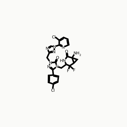 NC12CC1C(F)(F)C(Cn1c(-c3ccc(Cl)cc3)nn(Cc3ncn(-c4ncccc4Cl)n3)c1=O)NC2=O